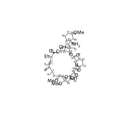 CCC1/C=C(\C)C(F)C(C)CC(OC)C2OC(O)(C(=O)C(=O)N3CCCCC3C(=O)OC(C(C)=CC3(N)CCCC(OC)C3)C(C)C(O)CC1=O)C(C)CC2OC